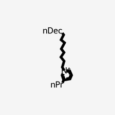 CCCCCCCCCCCCCCCCCC[n+]1cccc(CCC)c1